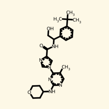 Cc1cnc(NC2CCOCC2)nc1-n1cnc(C(=O)NC(CO)c2cccc(C(C)(C)C)c2)c1